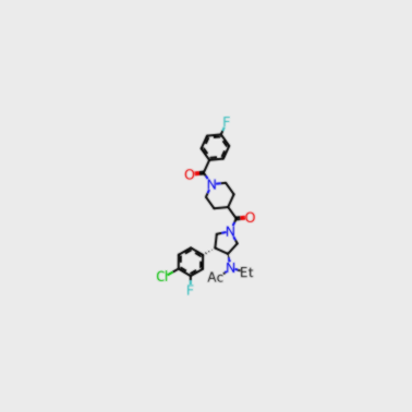 CCN(C(C)=O)[C@@H]1CN(C(=O)C2CCN(C(=O)c3ccc(F)cc3)CC2)C[C@H]1c1ccc(Cl)c(F)c1